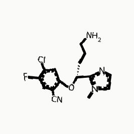 Cn1ccnc1[C@@H](CCCN)Oc1cc(Cl)c(F)cc1C#N